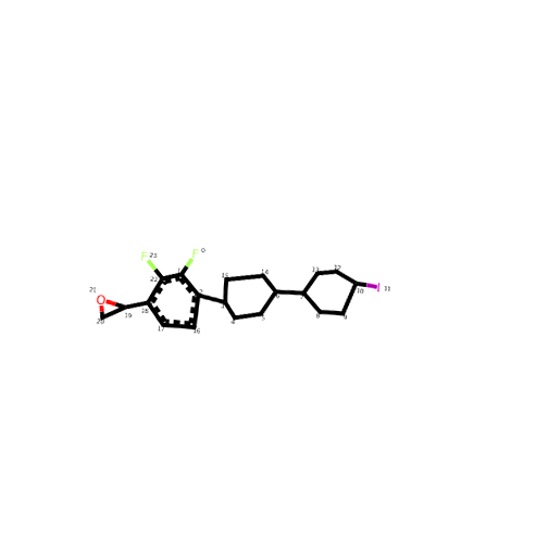 Fc1c(C2CCC(C3CCC(I)CC3)CC2)ccc(C2CO2)c1F